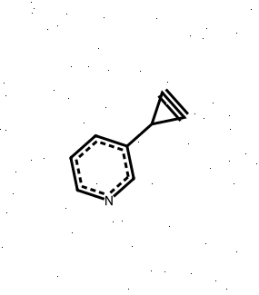 C1#CC1c1cccnc1